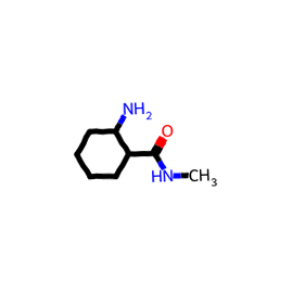 CNC(=O)C1CCCCC1N